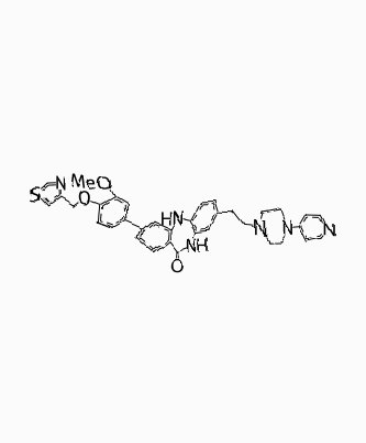 COc1cc(-c2ccc3c(c2)Nc2ccc(CCN4CCN(c5ccncc5)CC4)cc2NC3=O)ccc1OCc1cscn1